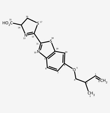 C=CC(C)COc1ccc2nc(C3=NC(C(=O)O)CS3)sc2c1